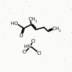 C=CC/C=C(\C)C(=O)O.Cl[SiH](Cl)Cl